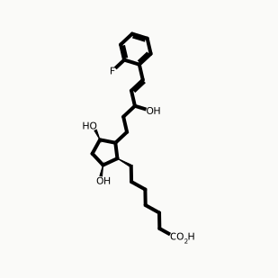 O=C(O)CCCCCC[C@@H]1C(CCC(O)/C=C/c2ccccc2F)[C@H](O)C[C@@H]1O